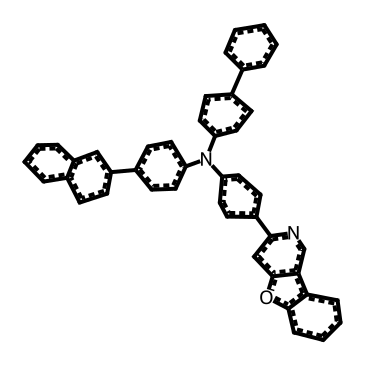 c1ccc(-c2ccc(N(c3ccc(-c4ccc5ccccc5c4)cc3)c3ccc(-c4cc5oc6ccccc6c5cn4)cc3)cc2)cc1